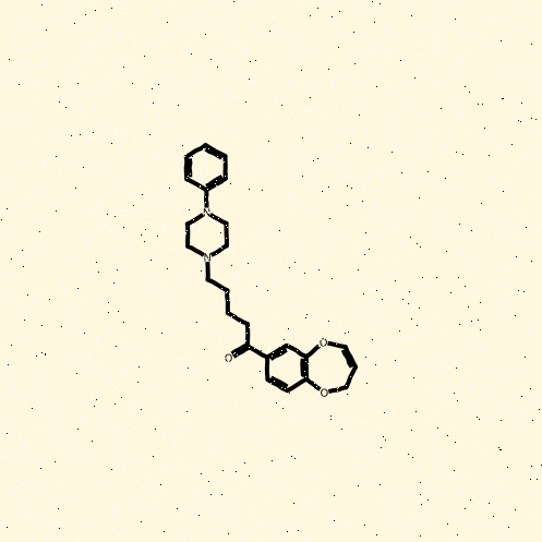 O=C(CCCCN1CCN(c2ccccc2)CC1)c1ccc2c(c1)OC=CCO2